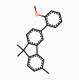 COc1ccccc1-c1ccc2c(c1)-c1cc(C)ccc1C2(C)C